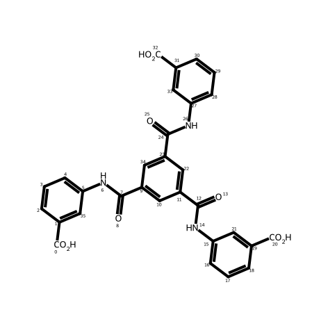 O=C(O)c1cccc(NC(=O)c2cc(C(=O)Nc3cccc(C(=O)O)c3)cc(C(=O)Nc3cccc(C(=O)O)c3)c2)c1